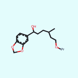 CC(CCOC(C)C)CCC(O)c1ccc2c(c1)OCO2